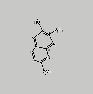 COc1ccc2cc(O)c(C)cc2n1